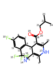 CC1=C(C#N)C(c2ccc(F)cc2C(F)(F)F)C(C(=O)OCC(C)C)=C(C)N1